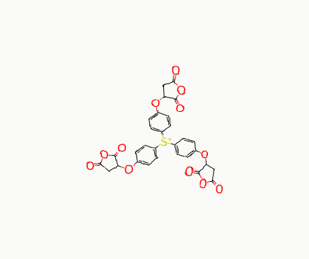 O=C1CC(Oc2ccc([S+](c3ccc(OC4CC(=O)OC4=O)cc3)c3ccc(OC4CC(=O)OC4=O)cc3)cc2)C(=O)O1